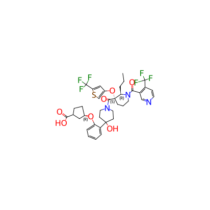 CCC[C@H]1N(C(=O)c2cnccc2C(F)(F)F)CCC[C@@]1(Oc1csc(C(F)(F)F)c1)C(=O)N1CCC(O)(c2ccccc2O[C@@H]2CCC(C(=O)O)C2)CC1